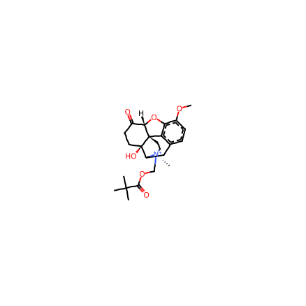 COc1ccc2c3c1O[C@H]1C(=O)CC[C@@]4(O)C(C2)[N@+](C)(COC(=O)C(C)(C)C)CC[C@]314